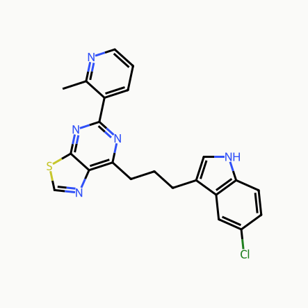 Cc1ncccc1-c1nc(CCCc2c[nH]c3ccc(Cl)cc23)c2ncsc2n1